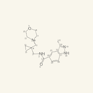 O=C(NCC1(CN2CCOCC2)CC1)c1ccc2[nH]nc(I)c2c1